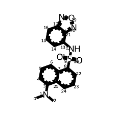 CN(C)c1cccc2c(S(=O)(=O)Nc3cccc4nonc34)cccc12